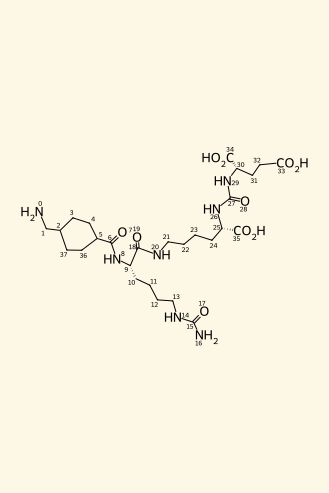 NCC1CCC(C(=O)N[C@@H](CCCCNC(N)=O)C(=O)NCCCC[C@H](NC(=O)N[C@@H](CCC(=O)O)C(=O)O)C(=O)O)CC1